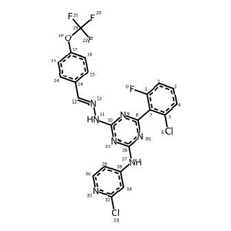 Fc1cccc(Cl)c1-c1nc(NN=Cc2ccc(OC(F)(F)F)cc2)nc(Nc2ccnc(Cl)c2)n1